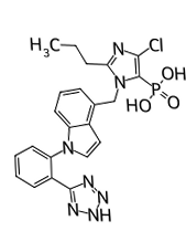 CCCc1nc(Cl)c(P(=O)(O)O)n1Cc1cccc2c1ccn2-c1ccccc1-c1nn[nH]n1